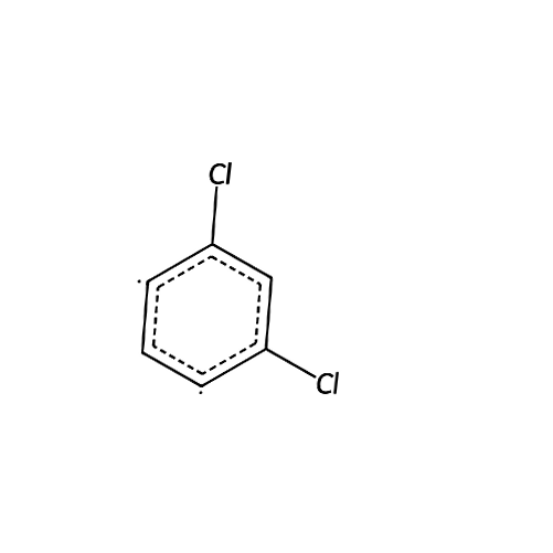 Clc1[c]c[c]c(Cl)c1